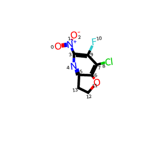 O=[N+]([O-])c1nc2c(c(Cl)c1F)OCC2